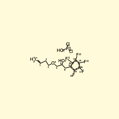 C=CCCOCC(O)Cc1c(F)c(F)c(F)c(F)c1F.OP(Cl)Cl